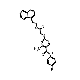 Nc1nc(SCC(=O)OCCc2cccc3ccccc23)ncc1C(=O)Nc1ccc(F)cc1